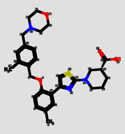 Cc1ccc(OCc2ccc(CN3CCOCC3)cc2C)c(-c2csc(N3CCC[C@@H](C(=O)O)C3)n2)c1